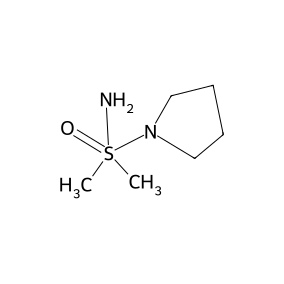 CS(C)(N)(=O)N1CCCC1